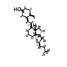 C=C1CC[C@H](O)C/C1=C/C=C1\CCC[C@]2(C)[C@@H]([C@H](C)/C=C\CC(C)C)CC[C@@H]12